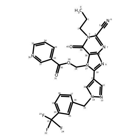 CCCn1c(C#N)nc2nc(-c3cnn(Cc4cccc(C(F)(F)F)c4)c3)n(COC(=O)c3cccnc3)c2c1=O